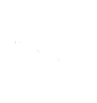 C/C=N/c1nc(=S)ss1